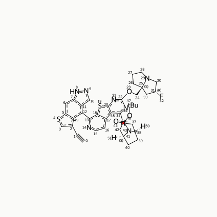 C#Cc1csc2cc3[nH]ncc3c(-c3nccc4c3sc3nc(OC[C@@]56CCCN5C[C@H](F)C6)nc(N5C[C@H]6CC[C@@H](C5)N6C(=O)OC(C)(C)C)c34)c12